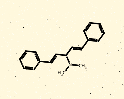 CN(C)C(/C=C/c1ccccc1)/C=C/c1ccccc1